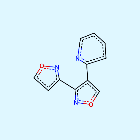 c1ccc(-c2conc2-c2ccon2)nc1